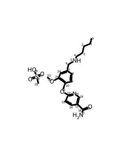 CCCCCNCc1ccc(Oc2ccc(C(N)=O)cn2)c(OC)c1.CS(=O)(=O)O